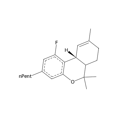 CCCCCc1cc(F)c2c(c1)OC(C)(C)C1CCC(C)=C[C@@H]21